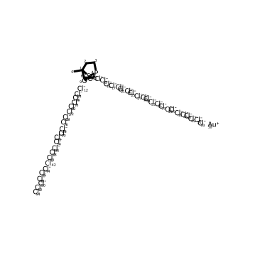 CC12CCP(CC1)S2(=O)=O.[Au+].[Cl-].[Cl-].[Cl-].[Cl-].[Cl-].[Cl-].[Cl-].[Cl-].[Cl-].[Cl-].[Cl-].[Cl-].[Cl-].[Cl-].[Cl-].[Cl-].[Cl-].[Cl-].[Cl-].[Cl-].[Cl-].[Cl-].[Cl-].[Cl-].[Cl-].[Cl-].[Cl-].[Cl-].[Cl-].[Cl-].[Cl-].[Cl-].[Cl-].[Cl-].[Cl-].[Cl-].[Cl-].[Cl-].[Cl-].[Cl-].[Cl-].[Cl-].[Cl-].[Cl-]